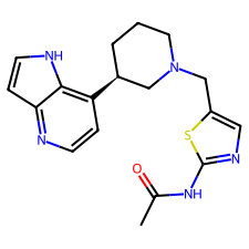 CC(=O)Nc1ncc(CN2CCC[C@H](c3ccnc4cc[nH]c34)C2)s1